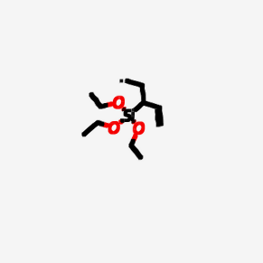 [CH2]CC(C=C)[Si](OCC)(OCC)OCC